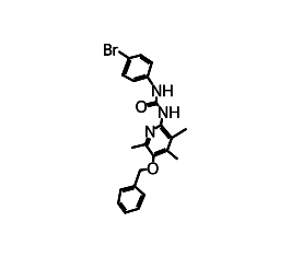 Cc1nc(NC(=O)Nc2ccc(Br)cc2)c(C)c(C)c1OCc1ccccc1